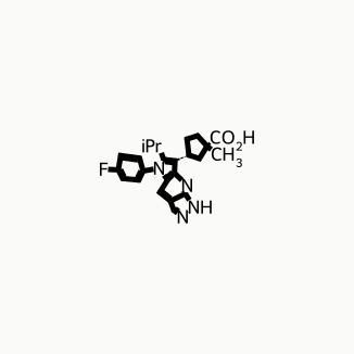 CC(C)c1c([C@@H]2CC[C@@](C)(C(=O)O)C2)c2nc3[nH]ncc3cc2n1-c1ccc(F)cc1